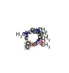 COC(=O)c1c(C)c2c3c(Cl)ccc2n1CCCOc1cc(cc2ccccc12)SCc1cc(nn1C)CN(C)Cc1nn(C)c(C)c1-3